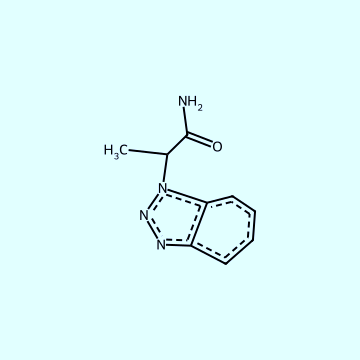 CC(C(N)=O)n1nnc2ccccc21